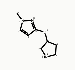 Cn1ccc(OC2CCNC2)n1